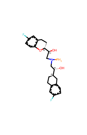 O[C@@H](CN(P)C[C@H](O)[C@H]1CCc2cc(F)ccc2O1)[C@@H]1CCc2cc(F)ccc2C1